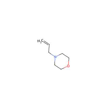 C=CCN1CCOCC1